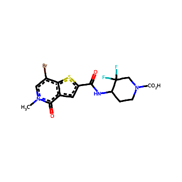 Cn1cc(Br)c2sc(C(=O)NC3CCN(C(=O)O)CC3(F)F)cc2c1=O